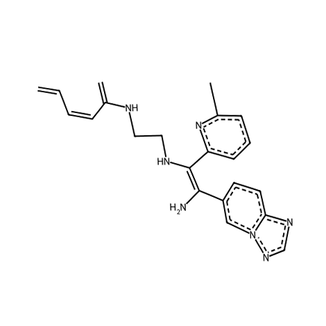 C=C/C=C\C(=C)NCCN/C(=C(\N)c1ccc2ncnn2c1)c1cccc(C)n1